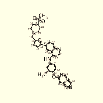 Cc1cc(Nc2ncnc3ccc(-c4ccc(CN5CCN(S(C)(=O)=O)CC5)o4)cc23)ccc1Oc1cc2nncn2cn1